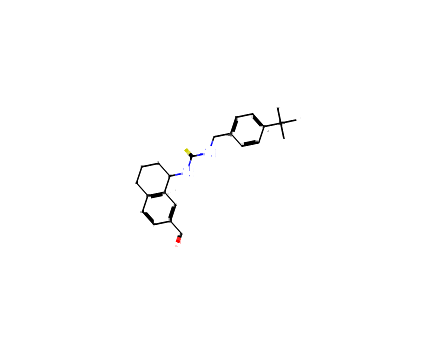 CC(C)(C)c1ccc(CNC(=S)NC2CCCc3ccc(C=O)cc32)cc1